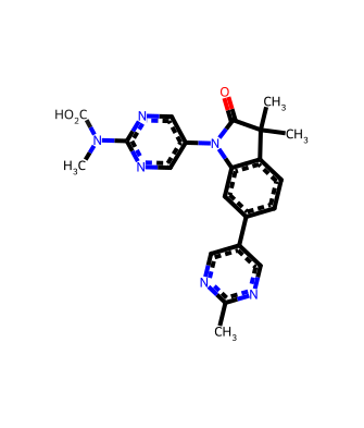 Cc1ncc(-c2ccc3c(c2)N(c2cnc(N(C)C(=O)O)nc2)C(=O)C3(C)C)cn1